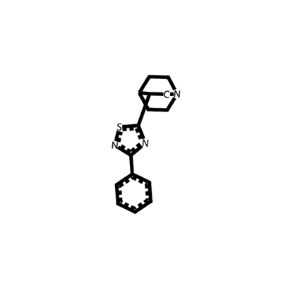 c1ccc(-c2nsc(C3CN4CCC3CC4)n2)cc1